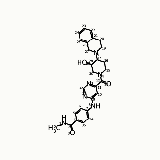 CNC(=O)c1ccc(Nc2cc(C(=O)N3CCC(N4CCc5ccccc5C4)C(O)C3)ncn2)cc1